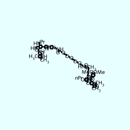 CCCOc1cc(OCCCCN(C)CC(=O)NCCOCCOCCOCCOCCOCCC(=O)NCCN2CCN(c3ccc(-c4cc(NC(C)C)c(C=N)c(C(=O)NCc5c(C)cc(C)[nH]c5=O)c4)cn3)CC2)cc(Oc2cc3c(cc2NS(=O)(=O)c2ccc(OC)c(OC)c2)n(C)c(=O)n3C)c1